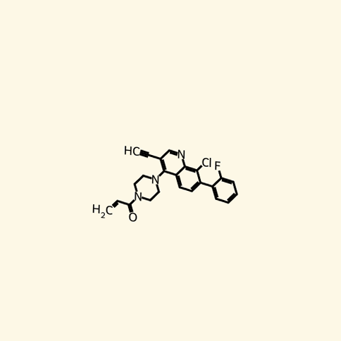 C#Cc1cnc2c(Cl)c(-c3ccccc3F)ccc2c1N1CCN(C(=O)C=C)CC1